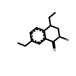 CCc1ccc2c(c1)C(=O)C(Br)CC2CC